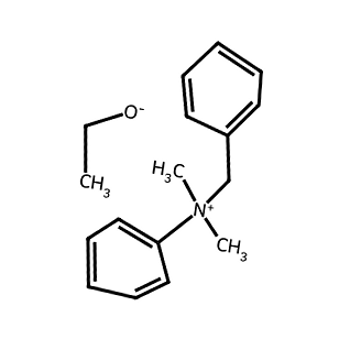 CC[O-].C[N+](C)(Cc1ccccc1)c1ccccc1